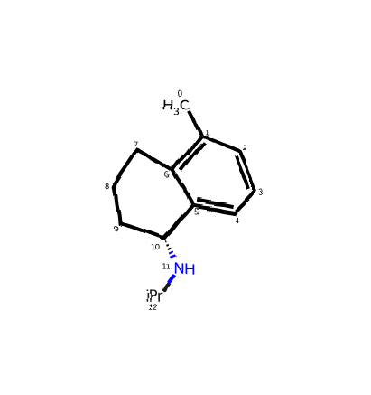 Cc1cccc2c1CCC[C@H]2NC(C)C